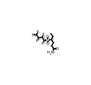 CCC(CCC(N)=O)S(=O)(=O)C(F)C(F)C(F)C(F)F